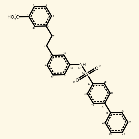 O=C(O)c1cccc(CCc2cccc(NS(=O)(=O)c3ccc(-c4ccccc4)cc3)c2)c1